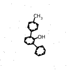 Cc1ccc(-c2cccc(-c3ccccc3)c2O)cc1